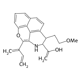 C=CC(=C)C1=C2NC(C(=C)O)C(CCOC)c3ccc4cccc(c4c32)O1